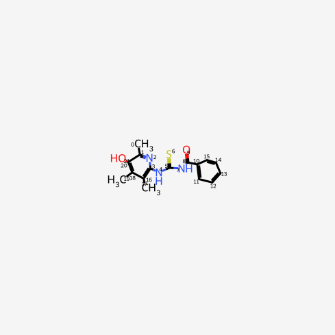 Cc1nc(NC(=S)NC(=O)c2ccccc2)c(C)c(C)c1O